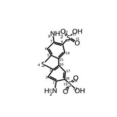 Nc1cc2sc3cc(N)c(S(=O)(=O)O)cc3c2cc1S(=O)(=O)O